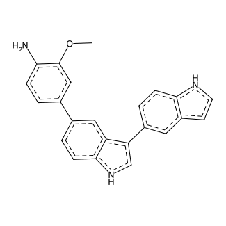 COc1cc(-c2ccc3[nH]cc(-c4ccc5[nH]ccc5c4)c3c2)ccc1N